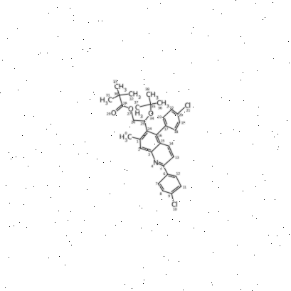 Cc1cc2nc(-c3ccc(Cl)cc3)ccc2c(-c2ccc(Cl)cc2)c1C(COC(=O)C(C)(C)C)OC(C)(C)C